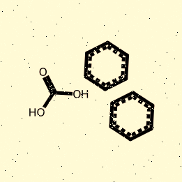 O=C(O)O.c1ccccc1.c1ccccc1